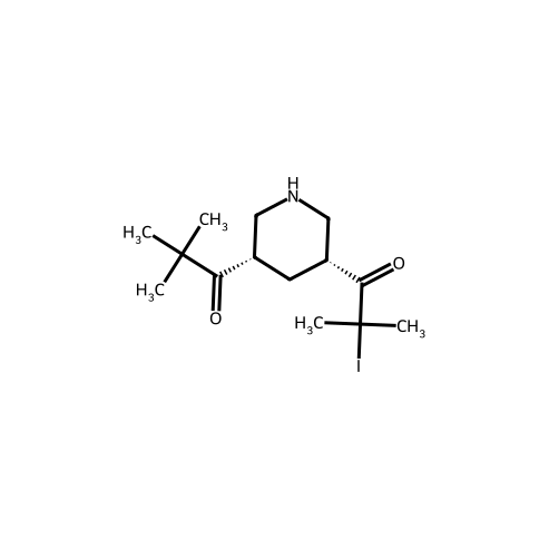 CC(C)(C)C(=O)[C@@H]1CNC[C@H](C(=O)C(C)(C)I)C1